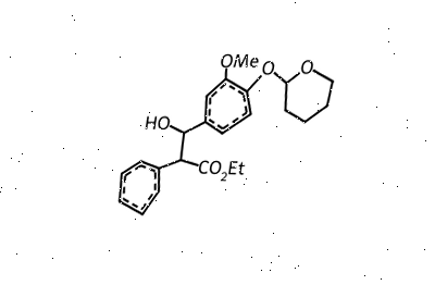 CCOC(=O)C(c1ccccc1)C(O)c1ccc(OC2CCCCO2)c(OC)c1